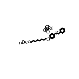 CCCCCCCCCCCCCCCCCCOc1ccc([I+]Cc2ccccc2)cc1.O=S(=O)([O-])C(F)(F)F